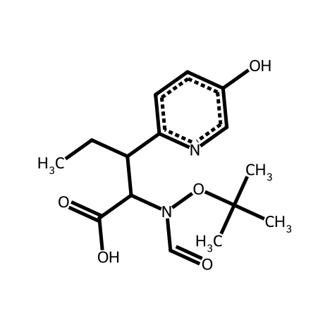 CCC(c1ccc(O)cn1)C(C(=O)O)N(C=O)OC(C)(C)C